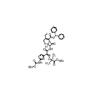 CC(C)(C)OC(=O)Nc1nc(C(=NOC(C)(C)C(=O)OC(C)(C)C)C(=O)N[C@@H]2C(=O)N3C(C(=O)OC(c4ccccc4)c4ccccc4)=C(CI)CS[C@H]23)cs1